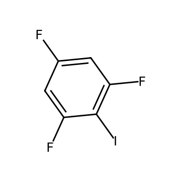 Fc1cc(F)c(I)c(F)c1